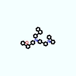 c1cc(-c2cccc3ccccc23)cc(N(c2ccc(-c3cccc(-n4c5ccccc5c5ccccc54)c3)cc2)c2ccc(-c3cccc4c3oc3ccccc34)cc2)c1